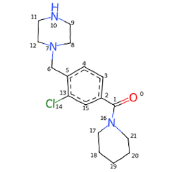 O=C(c1ccc(CN2CCNCC2)c(Cl)c1)N1CCCCC1